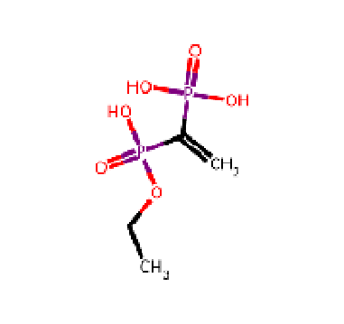 C=C(P(=O)(O)O)P(=O)(O)OCC